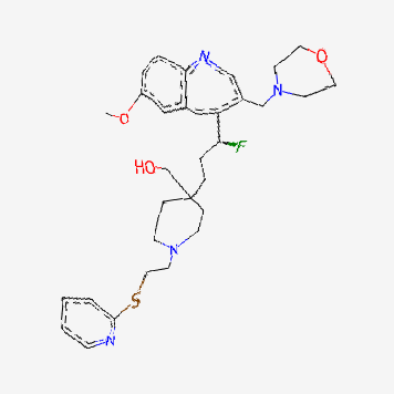 COc1ccc2ncc(CN3CCOCC3)c([C@@H](F)CCC3(CO)CCN(CCSc4ccccn4)CC3)c2c1